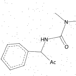 CC(=O)C(NC(=O)N(C)C)c1ccccc1